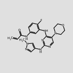 C=CC(=O)Nc1ccc(F)c(Nc2nc(Nc3cnn(C)c3)ncc2N2CCOCC2)c1